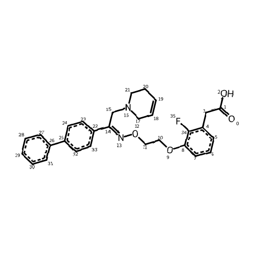 O=C(O)Cc1cccc(OCCON=C(CN2CC=CCC2)c2ccc(-c3ccccc3)cc2)c1F